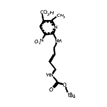 Cc1nc(NCC=CCNC(=O)OC(C)(C)C)c([N+](=O)[O-])cc1C(=O)O